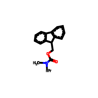 CCCN(C)C(=O)OCC1c2ccccc2-c2ccccc21